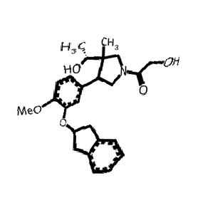 COc1ccc(C2CN(C(=O)CO)CC2(C)[C@@H](C)O)cc1OC1Cc2ccccc2C1